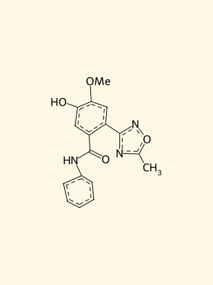 COc1cc(-c2noc(C)n2)c(C(=O)Nc2ccccc2)cc1O